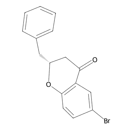 O=C1C[C@@H](Cc2ccccc2)Oc2ccc(Br)cc21